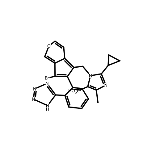 Cc1nc(C2CC2)n(Cc2c3ccocc-3c(Br)c2-c2ccccc2-c2nnn[nH]2)c1C(=O)O